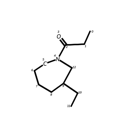 CCC(=O)N1CCCCC(CC)C1